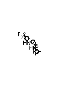 Cc1cc(C)nc(NC(=S)N2CCCC(Nc3ccc(C(F)(F)F)cc3)C2)c1